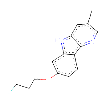 Cc1cnc2c(c1)[nH]c1cc(OCCCF)ccc12